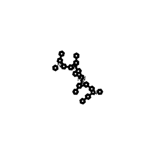 c1ccc(-c2ccc(C3CN(c4ccccc4)c4ccc(-c5ccc6c(c5)c5cc(-c7ccccc7)ccc5n6-c5ncc6c(n5)-c5cccc7c(-n8c9ccc(-c%10ccccc%10)cc9c9cc(-c%10ccc%11c(c%10)c%10cc(-c%12ccccc%12)ccc%10n%11-c%10ccccc%10)ccc98)ccc-6c57)cc43)cc2)cc1